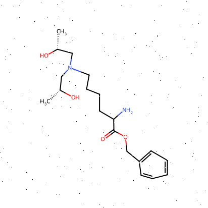 C[C@@H](O)CN(CCCCC(N)C(=O)OCc1ccccc1)C[C@@H](C)O